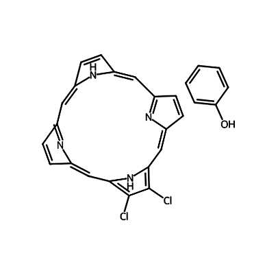 Clc1c(Cl)c2cc3nc(cc4ccc(cc5nc(cc1[nH]2)C=C5)[nH]4)C=C3.Oc1ccccc1